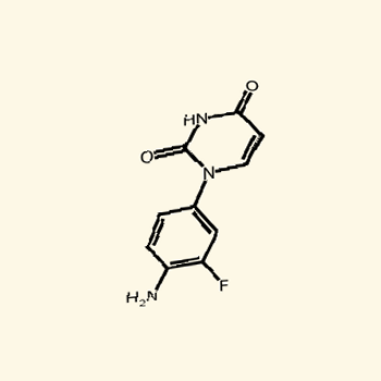 Nc1ccc(-n2ccc(=O)[nH]c2=O)cc1F